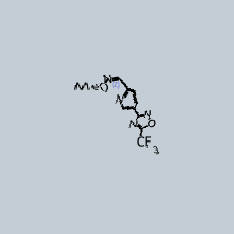 CO/N=C\c1ccc(-c2noc(C(F)(F)F)n2)cn1